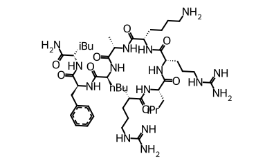 CCCC[C@H](NC(=O)[C@H](C)NC(=O)[C@H](CCCCN)NC(=O)[C@H](CCCNC(=N)N)NC(=O)[C@H](CC(C)C)NC(=O)[C@@H](C)CCCNC(=N)N)C(=O)N[C@@H](Cc1ccccc1)C(=O)N[C@H](C(N)=O)[C@@H](C)CC